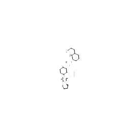 Cc1ccc2cccc(OCc3c(Cl)ccc(S(=O)(=O)n4cccc4)c3Cl)c2n1